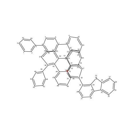 c1ccc(-c2ccc(-c3ccccc3N(c3ccc(-c4cccc5c4sc4ccccc45)cc3)c3cccc(-c4ccccc4)c3-c3ccccc3-c3ccccc3)cc2)cc1